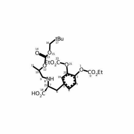 CCOC(=O)Oc1ccc(C[C@H](NCC(C)OC(=O)OCC(C)(C)C)C(=O)O)cc1OC(=O)OCC